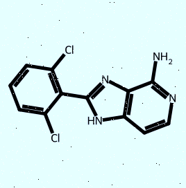 Nc1nccc2[nH]c(-c3c(Cl)cccc3Cl)nc12